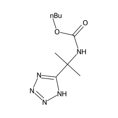 CCCCOC(=O)NC(C)(C)c1nnn[nH]1